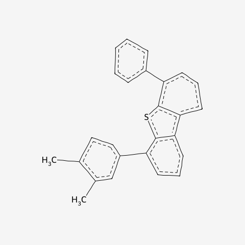 Cc1ccc(-c2cccc3c2sc2c(-c4ccccc4)cccc23)cc1C